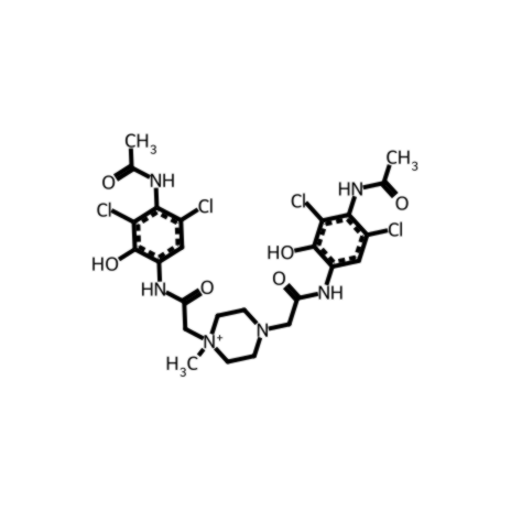 CC(=O)Nc1c(Cl)cc(NC(=O)CN2CC[N+](C)(CC(=O)Nc3cc(Cl)c(NC(C)=O)c(Cl)c3O)CC2)c(O)c1Cl